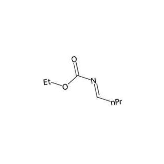 CCCC=NC(=O)OCC